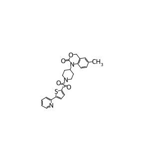 Cc1ccc2c(c1)COC(=O)N2C1CCN(S(=O)(=O)c2ccc(-c3ccccn3)s2)CC1